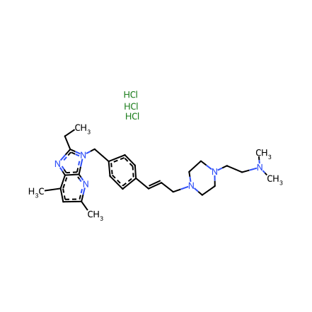 CCc1nc2c(C)cc(C)nc2n1Cc1ccc(/C=C/CN2CCN(CCN(C)C)CC2)cc1.Cl.Cl.Cl